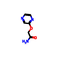 NC(=O)COc1cnccn1